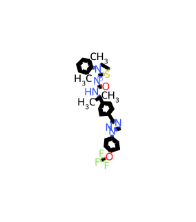 Cc1cccc(C)c1N1CCS/C1=N\C(=O)NC(C)(C)c1ccc(-c2ncn(-c3ccc(OC(F)(F)F)cc3)n2)cc1